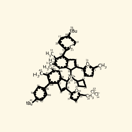 Cc1ccc(C2=Cc3c(cc(C)c(C)c3-c3ccc(C(C)(C)C)cc3)[CH]2[Zr+2]([CH]2CCC2)[CH]2C(c3ccc(C)o3)=Cc3c2cc(C)c(C)c3-c2ccc(C(C)(C)C)cc2)o1.[Cl-].[Cl-]